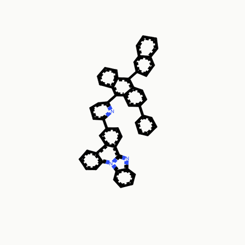 c1ccc(-c2ccc3c(-c4ccc5ccccc5c4)c4ccccc4c(-c4cccc(-c5ccc6c(c5)c5ccccc5n5c7ccccc7nc65)n4)c3c2)cc1